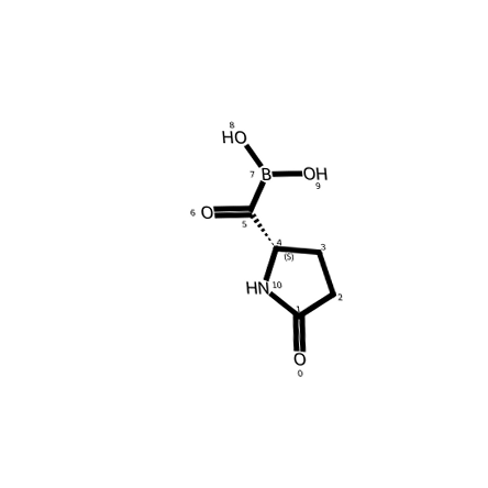 O=C1CC[C@@H](C(=O)B(O)O)N1